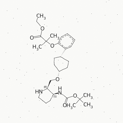 CCOC(=O)C(C)(C)Oc1ccccc1[C@H]1CC[C@@H](OC[C@@H]2NCCC[C@@H]2NC(=O)OC(C)(C)C)CC1